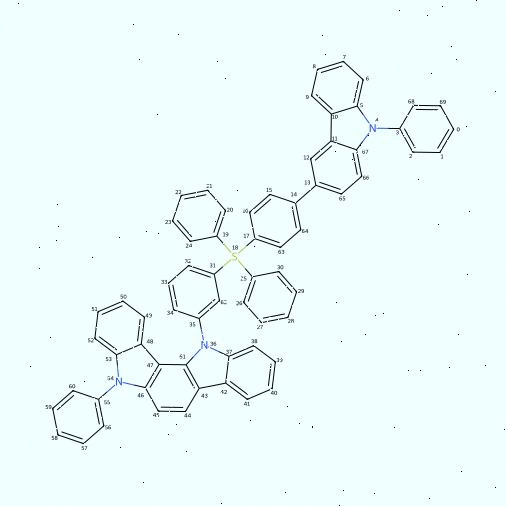 c1ccc(-n2c3ccccc3c3cc(-c4ccc(S(c5ccccc5)(c5ccccc5)c5cccc(-n6c7ccccc7c7ccc8c(c9ccccc9n8-c8ccccc8)c76)c5)cc4)ccc32)cc1